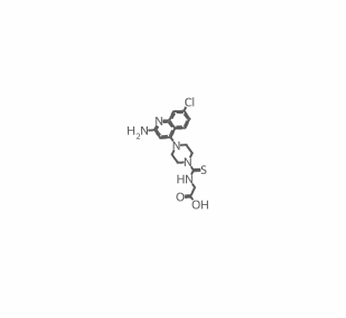 Nc1cc(N2CCN(C(=S)NCC(=O)O)CC2)c2ccc(Cl)cc2n1